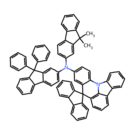 CC1(C)c2ccccc2-c2ccc(N(c3ccc4c(c3)C(c3ccccc3)(c3ccccc3)c3ccccc3-4)c3ccc4c(c3)C3(c5ccccc5-c5ccccc53)c3cccc5c6ccccc6n-4c35)cc21